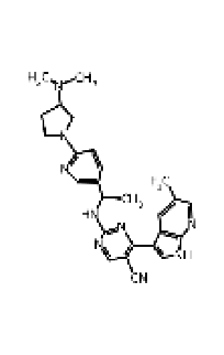 C[C@@H](Nc1ncc(C#N)c(-c2c[nH]c3ncc(C(F)(F)F)cc23)n1)c1ccc(N2CCC(N(C)C)C2)nc1